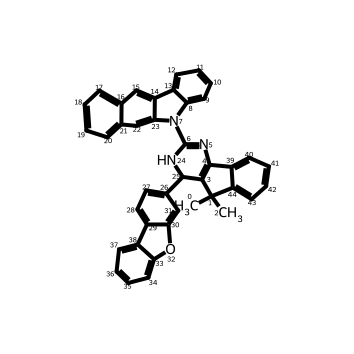 CC1(C)C2=C(N=C(n3c4ccccc4c4cc5ccccc5cc43)NC2c2ccc3c(c2)oc2ccccc23)c2ccccc21